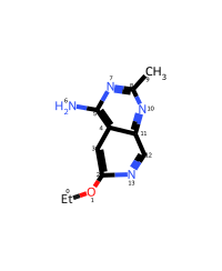 CCOc1cc2c(N)nc(C)nc2cn1